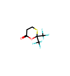 O=C1CCSC(C(F)(F)F)(C(F)(F)F)O1